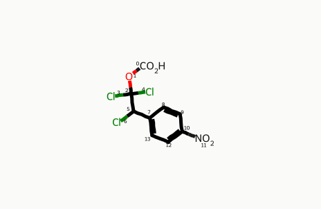 O=C(O)OC(Cl)(Cl)C(Cl)c1ccc([N+](=O)[O-])cc1